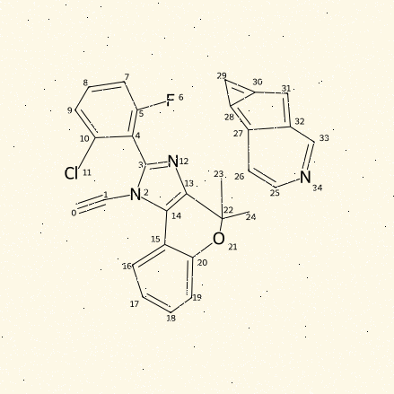 C#Cn1c(-c2c(F)cccc2Cl)nc2c1-c1ccccc1OC2(C)C.c1cc2c3cc-3cc2cn1